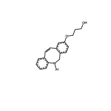 CC(=O)N1Cc2ccc(OCCCO)cc2C=Cc2ccccc21